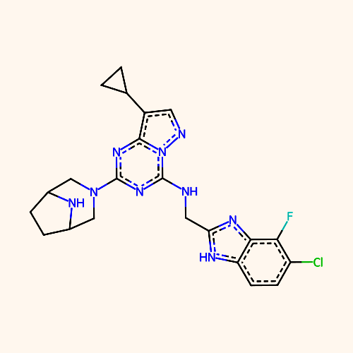 Fc1c(Cl)ccc2[nH]c(CNc3nc(N4CC5CCC(C4)N5)nc4c(C5CC5)cnn34)nc12